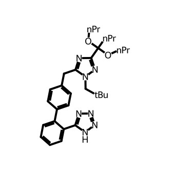 CCCOC(CCC)(OCCC)c1nc(Cc2ccc(-c3ccccc3-c3nnn[nH]3)cc2)n(CC(C)(C)C)n1